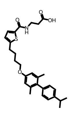 Cc1cc(OCCCCc2ccc(C(=O)NCCC(=O)O)s2)cc(C)c1-c1ccc(C(C)C)cc1